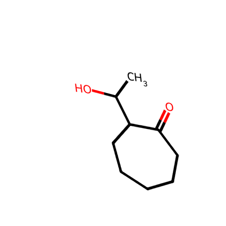 CC(O)C1CCCCCC1=O